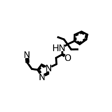 CCC(CC)(NC(=O)CCn1cnc(CC#N)c1)c1ccccc1